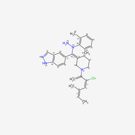 C=C(/C(Cl)=C\C(C)=C/C)N1CCC/C(=C(/c2ccc3[nH]ncc3c2)N(N)c2c(C)cccc2C)C1